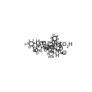 Cc1ccc(CNC(=O)[C@H](Cc2ccsc2)NC(=O)[C@H](Cc2c[nH]c3ccccc23)NC(=O)[C@@H]2CCCCN2C(=O)[C@H](CCC(=O)O)NC(=O)CCl)cc1